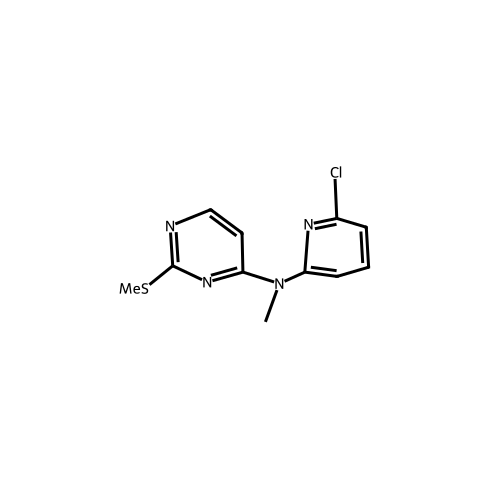 CSc1nccc(N(C)c2cccc(Cl)n2)n1